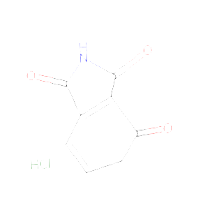 Cl.O=C1CC=CC2=C1C(=O)NC2=O